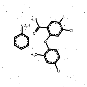 Cc1cc(Cl)ccc1Oc1cc(Cl)c(Cl)cc1C(N)=O.O=C(O)c1ccccc1